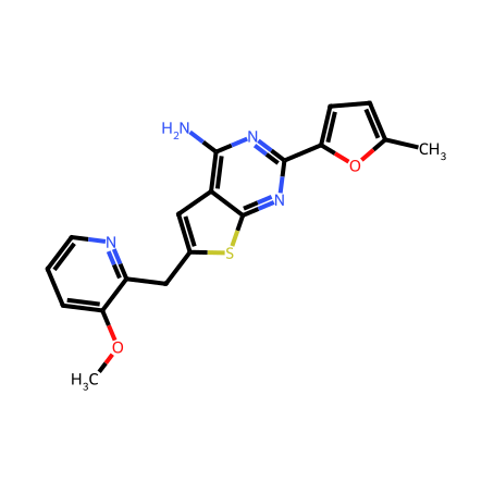 COc1cccnc1Cc1cc2c(N)nc(-c3ccc(C)o3)nc2s1